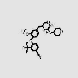 COc1cc(/C=C(/C=O)SC(=N)NC2CCOCC2)ccc1Oc1ccc(C#N)cc1C(F)(F)F